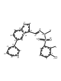 Cc1c(Cl)cccc1S(=O)(=O)N(C)N=Cc1cnc2ccc(-c3cccnc3)cn12